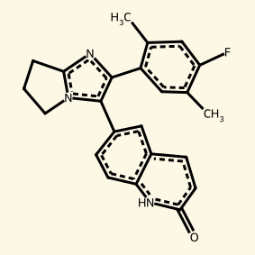 Cc1cc(-c2nc3n(c2-c2ccc4[nH]c(=O)ccc4c2)CCC3)c(C)cc1F